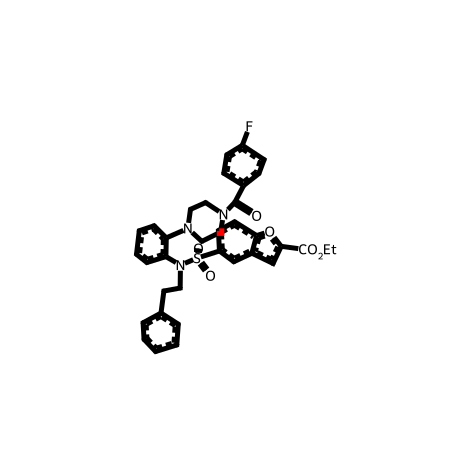 CCOC(=O)c1cc2cc(S(=O)(=O)N(CCc3ccccc3)c3ccccc3N3CCN(C(=O)c4ccc(F)cc4)CC3)ccc2o1